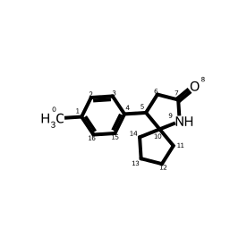 Cc1ccc(C2CC(=O)NC23CCCC3)cc1